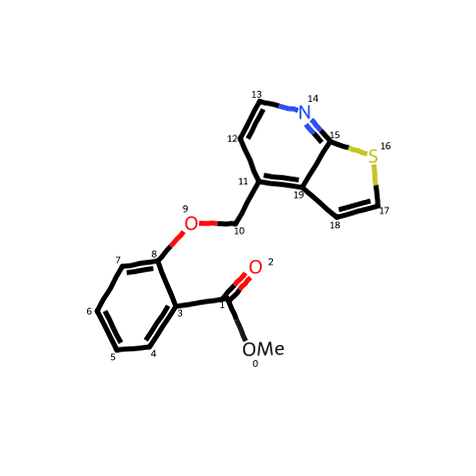 COC(=O)c1ccccc1OCc1ccnc2sccc12